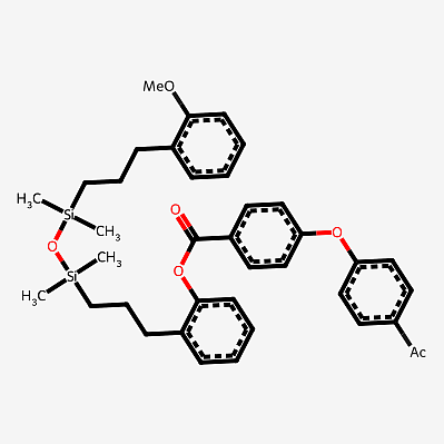 COc1ccccc1CCC[Si](C)(C)O[Si](C)(C)CCCc1ccccc1OC(=O)c1ccc(Oc2ccc(C(C)=O)cc2)cc1